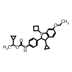 CCOc1ccc2c(c1)N(C1CCC1)C(c1ccc(NC(=O)OC(C)C3CC3)cc1)C2C1CC1